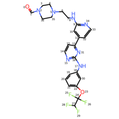 O=CN1CCN(CCNc2cc(-c3ccnc(Nc4cccc(OC(F)(F)C(F)F)c4)n3)ccn2)CC1